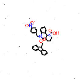 O=C(OCC1c2ccccc2-c2ccccc21)N(Cc1ccc([N+](=O)[O-])cc1)c1ccccc1C1CCCCN1C(=O)O